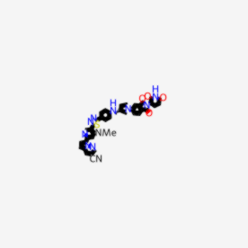 CNc1cc(-c2ccc3cc(C#N)cnn23)ncc1-c1nnc(C2CCC(NC[C@@H]3CCN(c4ccc5c(c4)C(=O)N(C4CCC(=O)NC4=O)C5=O)C3)CC2)s1